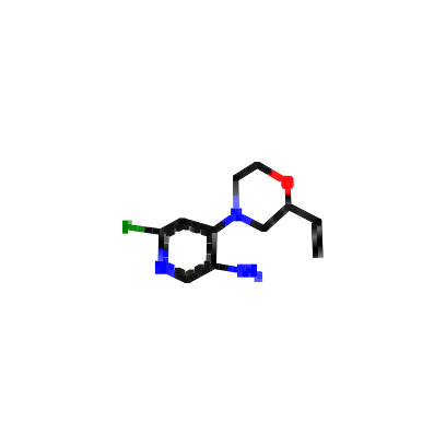 C=CC1CN(c2cc(F)ncc2N)CCO1